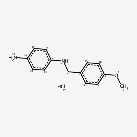 COc1ccc(CNc2ccc(N)cc2)cc1.Cl